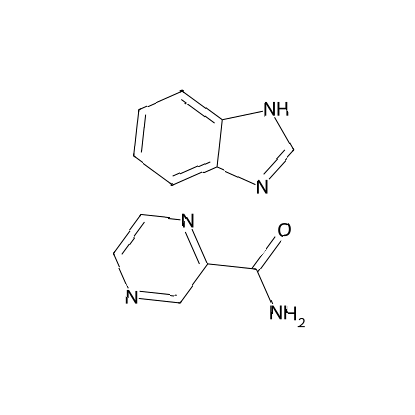 NC(=O)c1cnccn1.c1ccc2[nH]cnc2c1